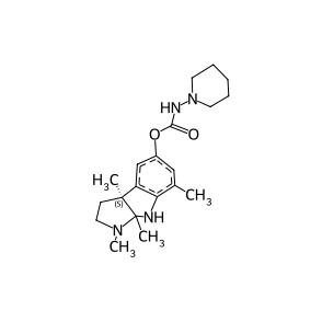 Cc1cc(OC(=O)NN2CCCCC2)cc2c1NC1(C)N(C)CC[C@@]21C